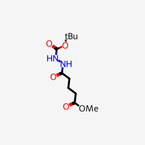 COC(=O)CCCC(=O)NNC(=O)OC(C)(C)C